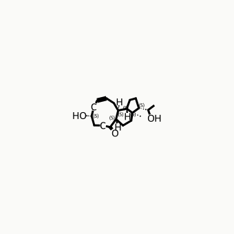 CC(O)[C@H]1CC[C@H]2[C@@H]3CC#CC[C@@H](O)CCC(=O)[C@H]3CC[C@]12C